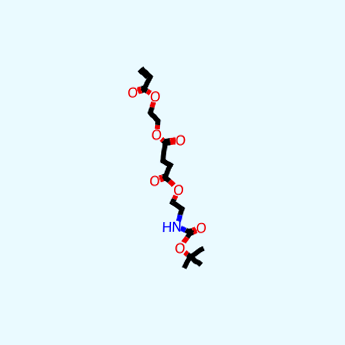 C=CC(=O)OCCOC(=O)CCC(=O)OCCNC(=O)OC(C)(C)C